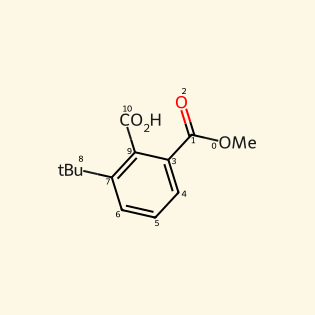 COC(=O)c1cccc(C(C)(C)C)c1C(=O)O